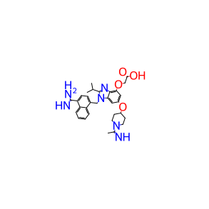 CC(=N)N1CCC(Oc2cc(OCC(=O)O)c3nc(C(C)C)n(Cc4ccc(C(=N)N)c5ccccc45)c3c2)CC1